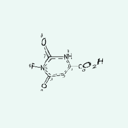 O=C(O)c1cc(=O)n(F)c(=O)[nH]1